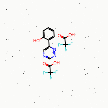 O=C(O)C(F)(F)F.O=C(O)C(F)(F)F.Oc1ccccc1-c1cncnn1